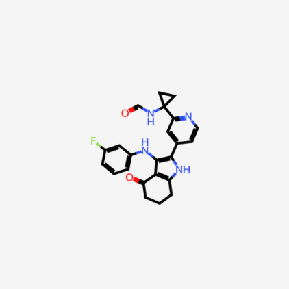 O=CNC1(c2cc(-c3[nH]c4c(c3Nc3cccc(F)c3)C(=O)CCC4)ccn2)CC1